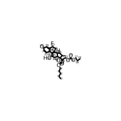 CCCCCOC(=O)O[C@]1(C(=O)COC(=O)OCCC)[C@H](C)C[C@H]2[C@@H]3C[C@H](F)C4=CC(=O)C=C[C@]4(C)[C@@]3(F)[C@@H](O)C[C@@]21C